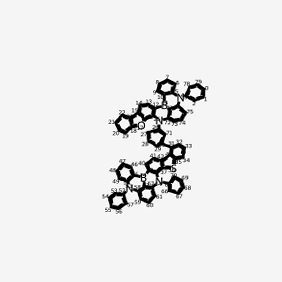 c1ccc(N2c3ccccc3B3c4ccc5c(oc6ccccc65)c4N(c4cccc(-c5cccc6sc7c8c(ccc7c56)B5c6ccccc6N(c6ccccc6)c6cccc(c65)N8c5ccccc5)c4)c4cccc2c43)cc1